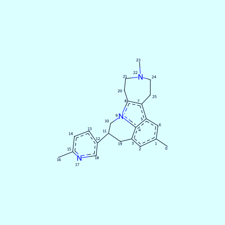 Cc1cc2c3c(c1)c1c(n3CC(c3ccc(C)nc3)C2)CCN(C)CC1